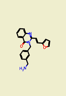 NCc1cccc(Cn2c(/C=C/c3ccco3)nc3ccccc3c2=O)c1